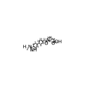 N=C(N)c1ccc(-c2ccc(CC(=O)N3CCC(CC(=O)O)C3)cc2)cc1